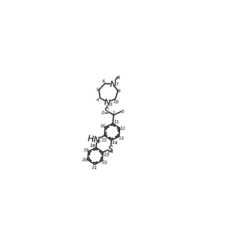 CC(SN1CCCN(C)CC1)c1ccc2c(c1)Nc1ccccc1S2